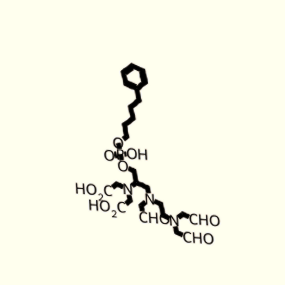 O=CCN(CC=O)CCN(CC=O)CC(COP(=O)(O)OCCCCCc1ccccc1)N(CC(=O)O)CC(=O)O